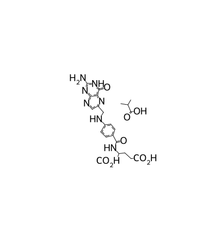 CC(C)C(=O)O.Nc1nc2ncc(CNc3ccc(C(=O)NC(CCC(=O)O)C(=O)O)cc3)nc2c(=O)[nH]1